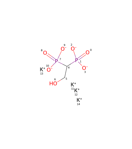 O=P([O-])([O-])C(CO)P(=O)([O-])[O-].[K+].[K+].[K+].[K+]